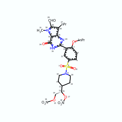 CCCOc1ccc(S(=O)(=O)N2CCC([C@@H](CO[N+](=O)[O-])O[N+](=O)[O-])CC2)cc1-c1nc2c(CCC)c(C=O)n(C)c2c(=O)[nH]1